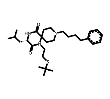 CC(C)C[C@@H]1NC(=O)C2(CCN(CCCCc3ccccc3)CC2)N(CCSC(C)(C)C)C1=O